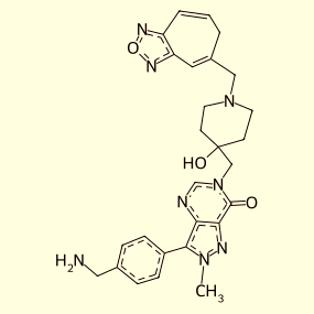 Cn1nc2c(=O)n(CC3(O)CCN(CC4=Cc5nonc5C=CC4)CC3)cnc2c1-c1ccc(CN)cc1